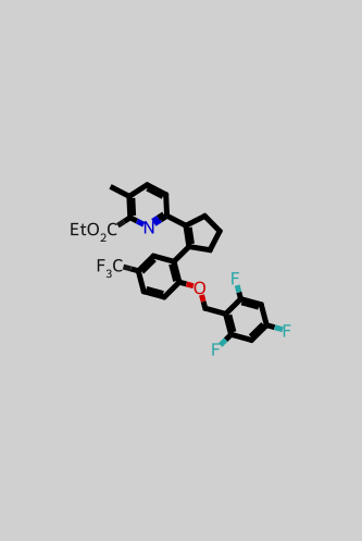 CCOC(=O)c1nc(C2=C(c3cc(C(F)(F)F)ccc3OCc3c(F)cc(F)cc3F)CCC2)ccc1C